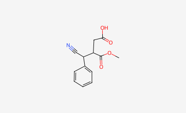 COC(=O)C(CC(=O)O)C(C#N)c1ccccc1